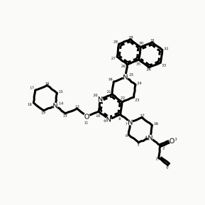 C=CC(=O)N1CCN(c2nc(OCCN3CCCCC3)nc3c2CCN(c2cccc4ccccc24)C3)CC1